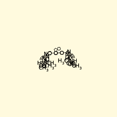 COC(=O)N[C@H](C(=O)N1C2CC2C[C@@H]1c1nc2ccc(-c3ccc(-c4ccc(-c5cnc([C@@H]6CC7CC7N6C(=O)[C@@H](NC(=O)OC)C(C)C)[nH]5)cc4)c4c3CCC43CCCC3)cc2[nH]1)C(C)C